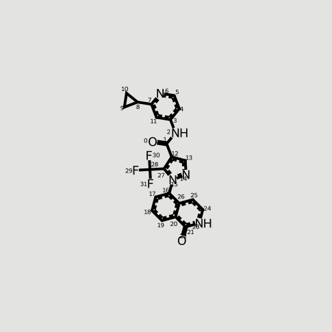 O=C(Nc1ccnc(C2CC2)c1)c1cnn(-c2cccc3c(=O)[nH]ccc23)c1C(F)(F)F